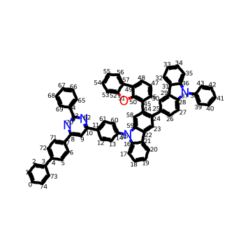 c1ccc(-c2ccc(-c3cc(-c4ccc(-n5c6ccccc6c6cc(-c7ccc8c(c7)c7ccccc7n8-c7ccccc7)c(-c7cccc8c7oc7ccccc78)cc65)cc4)nc(-c4ccccc4)n3)cc2)cc1